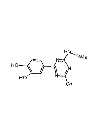 CNNc1nc(O)nc(-c2ccc(O)c(O)c2)n1